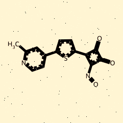 Cc1cc(-c2ccc(-c3c(N=O)c(=O)c3=O)s2)ccn1